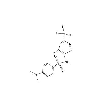 CC(C)c1ccc(S(=O)(=O)Nc2cnc(C(F)(F)F)cc2I)cc1